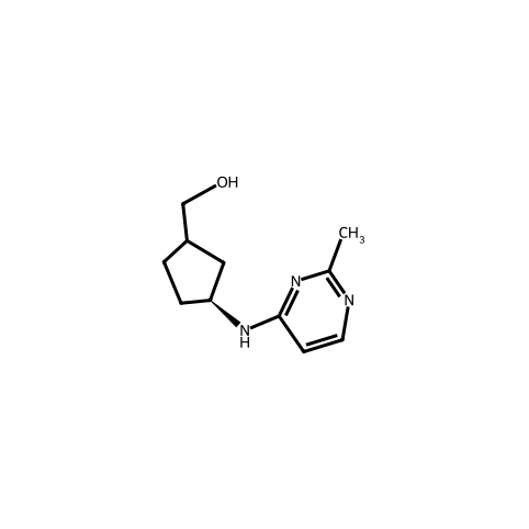 Cc1nccc(N[C@H]2CCC(CO)C2)n1